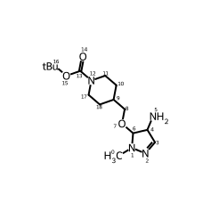 CN1N=CC(N)C1OCC1CCN(C(=O)OC(C)(C)C)CC1